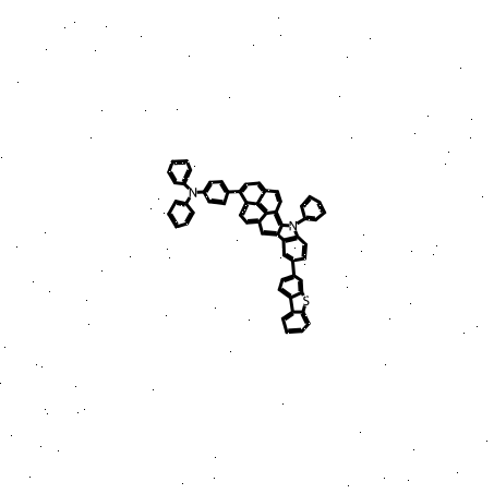 c1ccc(N(c2ccccc2)c2ccc(-c3ccc4ccc5c6c(ccc3c46)cc3c4cc(-c6ccc7c(c6)sc6ccccc67)ccc4n(-c4ccccc4)c35)cc2)cc1